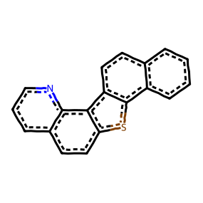 c1ccc2c(c1)ccc1c2sc2ccc3cccnc3c21